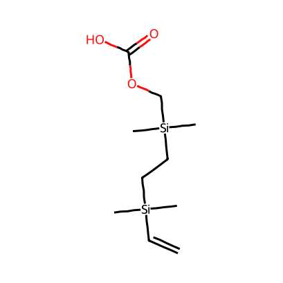 C=C[Si](C)(C)CC[Si](C)(C)COC(=O)O